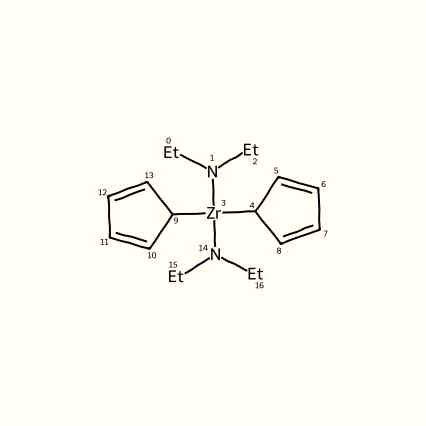 CC[N](CC)[Zr]([CH]1C=CC=C1)([CH]1C=CC=C1)[N](CC)CC